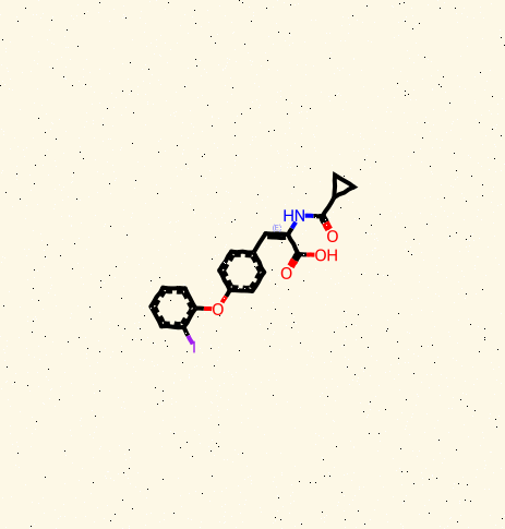 O=C(O)/C(=C\c1ccc(Oc2ccccc2I)cc1)NC(=O)C1CC1